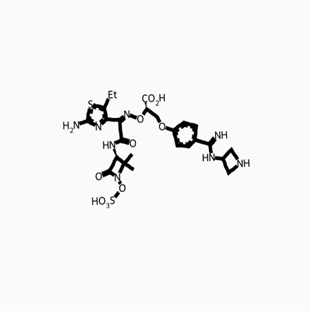 CCc1sc(N)nc1/C(=N/O[C@@H](COc1ccc(C(=N)NC2CNC2)cc1)C(=O)O)C(=O)N[C@@H]1C(=O)N(OS(=O)(=O)O)C1(C)C